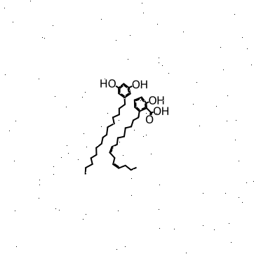 CCC/C=C\C/C=C\CCCCCCCc1cccc(O)c1C(=O)O.CCCCCCCCCCCCCCCc1cc(O)cc(O)c1